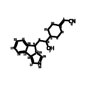 N#CC=C1CCC(C(O)CC2c3ccccc3-c3cncn32)CC1